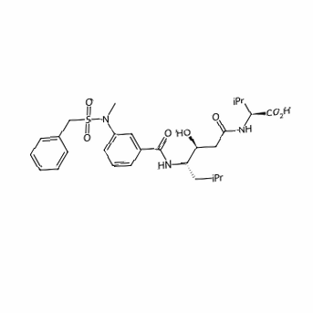 CC(C)C[C@H](NC(=O)c1cccc(N(C)S(=O)(=O)Cc2ccccc2)c1)[C@@H](O)CC(=O)N[C@H](C(=O)O)C(C)C